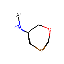 CC(=O)NC1COCSC1